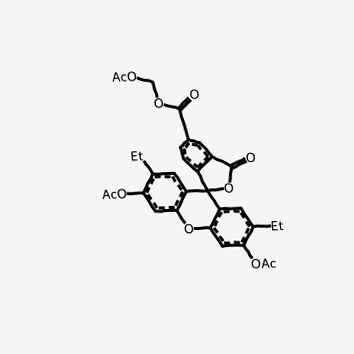 CCc1cc2c(cc1OC(C)=O)Oc1cc(OC(C)=O)c(CC)cc1C21OC(=O)c2cc(C(=O)OCOC(C)=O)ccc21